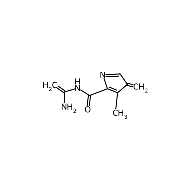 C=C(N)NC(=O)C1=C(C)C(=C)C=N1